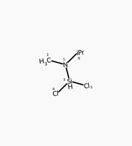 CC(C)N(C)[SiH](Cl)Cl